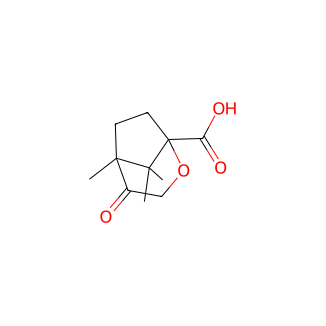 CC12CCC(C(=O)O)(OCC1=O)C2(C)C